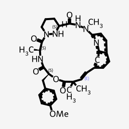 COc1ccc(C[C@@H]2OC(=O)C(C)(C)/C=C/c3ccc4ccc(nc4c3)N(C)NC(=O)[C@@H]3CCCN(N3)C(=O)[C@H](C)NC2=O)cc1